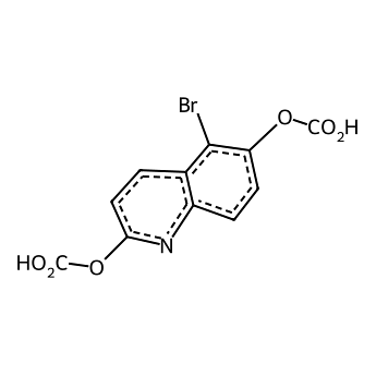 O=C(O)Oc1ccc2c(Br)c(OC(=O)O)ccc2n1